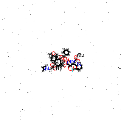 CC(=O)O[C@@]12CO[C@@H]1CC[C@@]1(C)[C@@H]3O[C@H](CN4CCC4)O[C@@H]3C3=C(C)[C@@H](OC(=O)[C@H](O)[C@@H](NC(=O)OC(C)(C)C)c4ncccc4F)C[C@@](O)([C@@H](OC(=O)c4ccccc4)[C@@H]12)C3(C)C